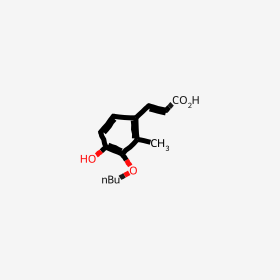 CCCCOc1c(O)ccc(C=CC(=O)O)c1C